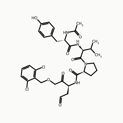 CC(=O)N[C@@H](Cc1ccc(O)cc1)C(=O)N[C@H](C(=O)N1CCC[C@H]1C(=O)N[C@@H](CC=O)C(=O)COCc1c(Cl)cccc1Cl)C(C)C